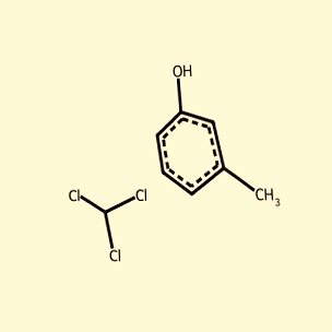 Cc1cccc(O)c1.ClC(Cl)Cl